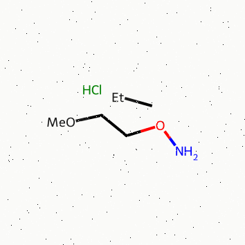 CCC.COCCON.Cl